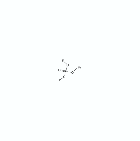 CCCOP(=O)(OF)OI